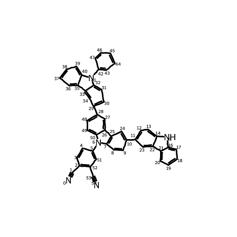 N#Cc1ccc(-n2c3ccc(-c4ccc5[nH]c6ccccc6c5c4)cc3c3cc(-c4ccc5c(c4)c4ccccc4n5-c4ccccc4)ccc32)cc1C#N